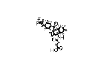 O=C(O)CCC(=O)NC1c2ccccc2N(C(=O)c2ccc(SC(F)(F)F)cc2)C2CCC12